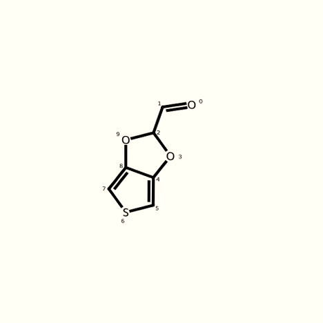 O=CC1Oc2cscc2O1